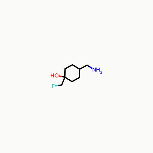 NCC1CCC(O)(CF)CC1